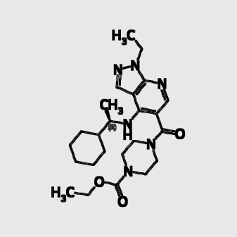 CCOC(=O)N1CCN(C(=O)c2cnc3c(cnn3CC)c2N[C@H](C)C2CCCCC2)CC1